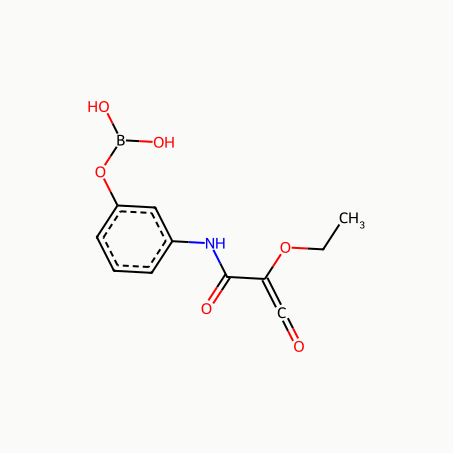 CCOC(=C=O)C(=O)Nc1cccc(OB(O)O)c1